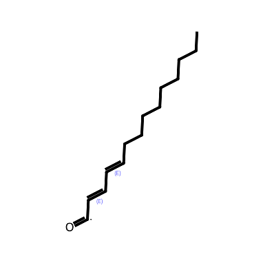 CCCCCCCCC/C=C/C=C/[C]=O